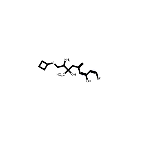 C=C(/C=C(O)\C=C/CCC)CC(O)(C(=O)O)C(N)CSC1CCC1